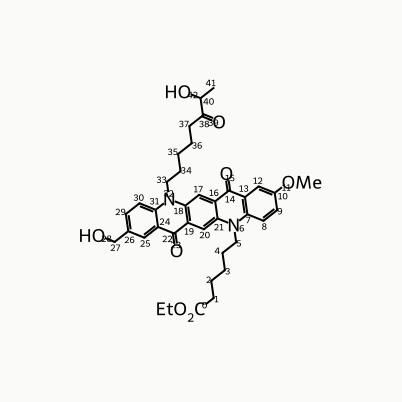 CCOC(=O)CCCCCn1c2ccc(OC)cc2c(=O)c2cc3c(cc21)c(=O)c1cc(CO)ccc1n3CCCCCC(=O)C(C)O